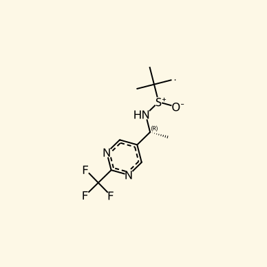 [CH2]C(C)(C)[S+]([O-])N[C@H](C)c1cnc(C(F)(F)F)nc1